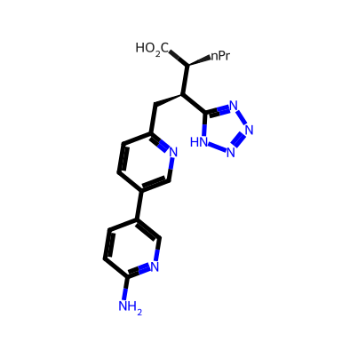 CCC[C@H](C(=O)O)[C@H](Cc1ccc(-c2ccc(N)nc2)cn1)c1nnn[nH]1